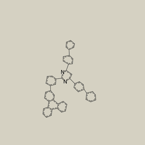 c1ccc(-c2ccc(-c3cc(-c4ccc(-c5ccccc5)cc4)nc(-c4cccc(-c5ccc6c7ccccc7c7ccccc7c6c5)c4)n3)cc2)cc1